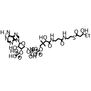 CC[C@H](O)CC(=O)SCCNC(=O)CCNC(=O)[C@H](O)C(C)(C)COP(=O)(O)OP(=O)(O)OC[C@H]1O[C@@H](n2cnc3c(N)ncnc32)[C@H](O)[C@@H]1OP(=O)(O)O